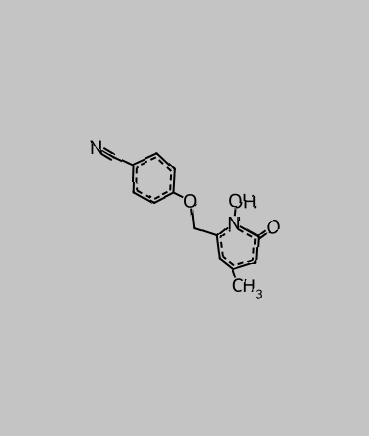 Cc1cc(COc2ccc(C#N)cc2)n(O)c(=O)c1